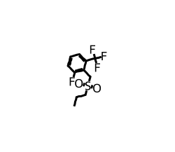 CCCS(=O)(=O)Cc1c(F)cccc1C(F)(F)F